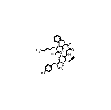 C#CC[C@H](NC(=O)[C@@H](N)Cc1ccc(O)cc1)C(=O)NCC(=O)N(C)[C@@H](Cc1ccccc1)C(=O)N[C@H](CCCCN)C(=O)O